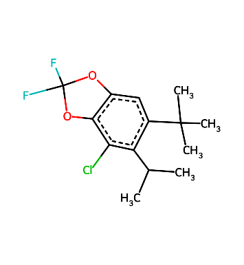 CC(C)c1c(C(C)(C)C)cc2c(c1Cl)OC(F)(F)O2